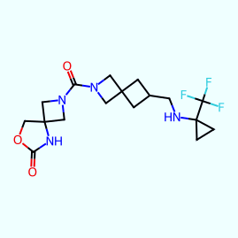 O=C1NC2(CO1)CN(C(=O)N1CC3(CC(CNC4(C(F)(F)F)CC4)C3)C1)C2